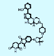 O=C1CCC(N2C(=O)c3ccc(N4CC(CN5CCC(CN6CCN7c8cc(-c9ccccc9O)nnc8NC[C@H]7C6)CC5)C(F)(F)C4)cc3C2=O)C(=O)N1